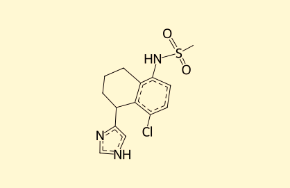 CS(=O)(=O)Nc1ccc(Cl)c2c1CCCC2c1c[nH]cn1